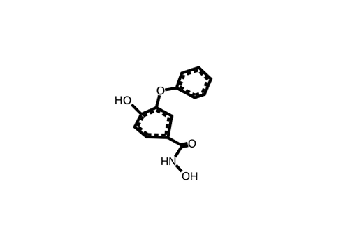 O=C(NO)c1ccc(O)c(Oc2ccccc2)c1